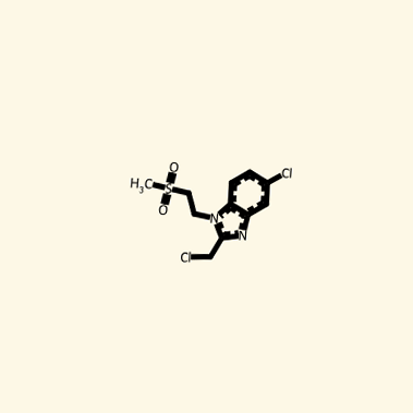 CS(=O)(=O)CCn1c(CCl)nc2cc(Cl)ccc21